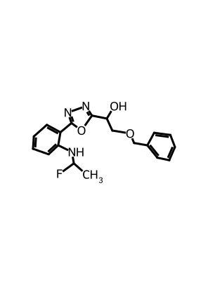 CC(F)Nc1ccccc1-c1nnc(C(O)COCc2ccccc2)o1